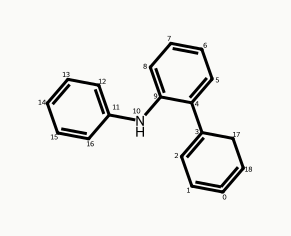 C1=CC=C(c2ccccc2Nc2ccccc2)CC=1